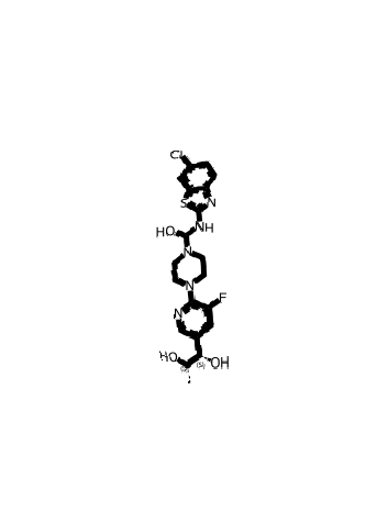 C[C@H](O)[C@@H](O)c1cnc(N2CCN(C(O)Nc3nc4ccc(Cl)cc4s3)CC2)c(F)c1